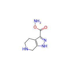 NOC(=O)c1n[nH]c2c1CCNC2